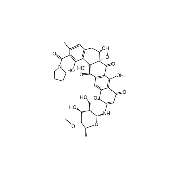 CO[C@@H]1[C@@H](O)[C@@H](CO)[C@@H](NC2=CC(=O)c3c(cc4c(c3O)C(=O)[C@]3(OC)[C@H](O)Cc5cc(C)c(C(=O)N6CCCC6)c(O)c5[C@]3(O)C4=O)C2=O)O[C@H]1C